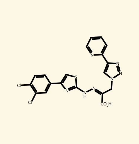 O=C(O)C(Cn1cc(-c2ccccn2)nn1)=NNc1nc(-c2ccc(Cl)c(Cl)c2)cs1